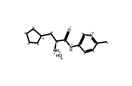 Cc1ccc(NC(=O)[C@@H](N)CC2CCCC2)cn1.Cl